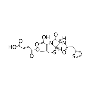 O=C(O)C=CC(=O)OCC1=C(C(=O)O)N2C(=O)[C@@H](NC(=O)Cc3cccs3)[C@@H]2SC1